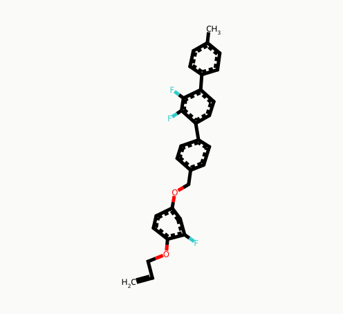 C=CCOc1ccc(OCc2ccc(-c3ccc(-c4ccc(C)cc4)c(F)c3F)cc2)cc1F